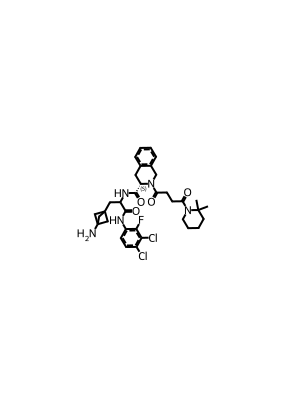 CC1(C)CCCCN1C(=O)CCC(=O)N1Cc2ccccc2C[C@H]1C(=O)NC(CC12CC(N)(C1)C2)C(=O)Nc1ccc(Cl)c(Cl)c1F